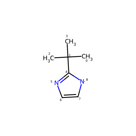 CC(C)(C)C1=NC=C[N]1